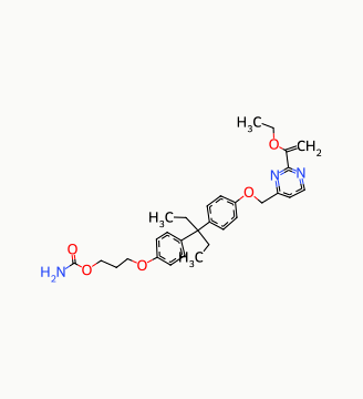 C=C(OCC)c1nccc(COc2ccc(C(CC)(CC)c3ccc(OCCCOC(N)=O)cc3)cc2)n1